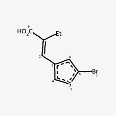 CC/C(=C\c1csc(Br)c1)C(=O)O